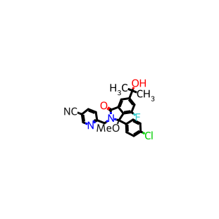 CO[C@]1(c2ccc(Cl)cc2)c2c(F)cc(C(C)(C)O)cc2C(=O)N1Cc1ccc(C#N)cn1